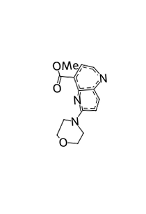 COC(=O)c1ccnc2ccc(N3CCOCC3)nc12